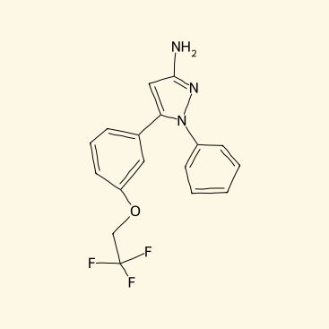 Nc1cc(-c2cccc(OCC(F)(F)F)c2)n(-c2ccccc2)n1